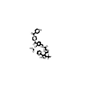 O=C(NCc1ccc(C(=O)N2CCN(C(=O)C3CCNCC3)CC2)c(Cl)c1)c1ncc(-c2c(C(F)(F)F)n[nH]c2-c2ncccn2)[nH]1.O=CO